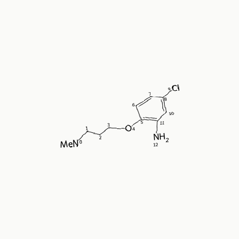 CNCCCOc1ccc(Cl)cc1N